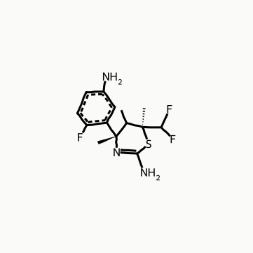 CC1[C@@](C)(C(F)F)SC(N)=N[C@]1(C)c1cc(N)ccc1F